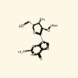 CCCCCCCCCO[C@@H]1[C@H](O)[C@@H](CO)O[C@H]1n1cnc2c(=O)[nH]c(N)nc21